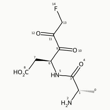 C[C@H](N)C(=O)N[C@@H](CC(=O)O)C(=O)C(=O)CF